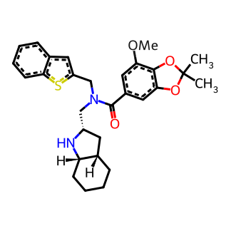 COc1cc(C(=O)N(Cc2cc3ccccc3s2)C[C@@H]2C[C@@H]3CCCC[C@@H]3N2)cc2c1OC(C)(C)O2